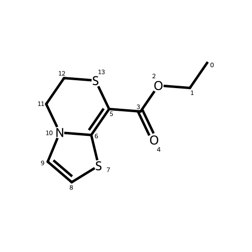 CCOC(=O)C1=C2SC=CN2CCS1